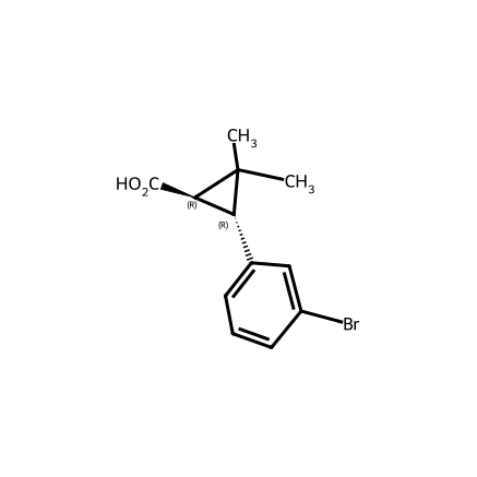 CC1(C)[C@H](C(=O)O)[C@H]1c1cccc(Br)c1